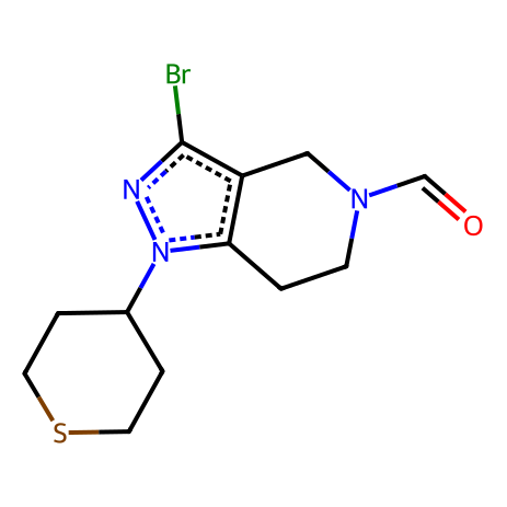 O=CN1CCc2c(c(Br)nn2C2CCSCC2)C1